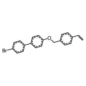 C=Cc1ccc(COc2ccc(-c3ccc(Br)cc3)cc2)cc1